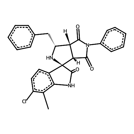 Cc1c(Cl)ccc2c1NC(=O)[C@]21N[C@H](Cc2ccccc2)[C@@H]2C(=O)N(c3ccccc3)C(=O)[C@@H]21